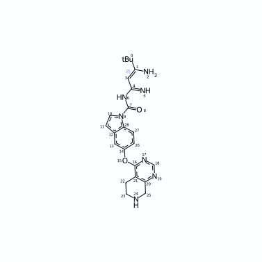 CC(C)(C)/C(N)=C/C(=N)NC(=O)n1ccc2cc(Oc3ncnc4c3CCNC4)ccc21